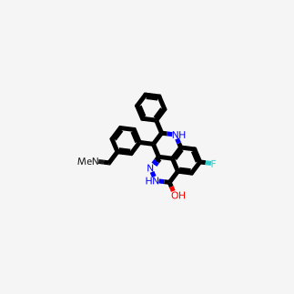 CNCc1cccc(C2C3=NNC(O)c4cc(F)cc(c43)NC2c2ccccc2)c1